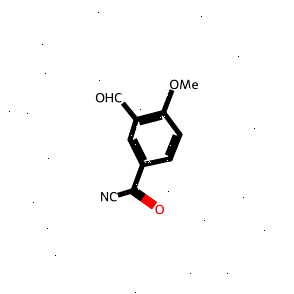 COc1ccc(C(=O)C#N)cc1C=O